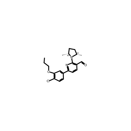 CCCOc1cc(-c2ccc(C=O)c(N3[C@H](C)CC[C@@H]3C)n2)ccc1Cl